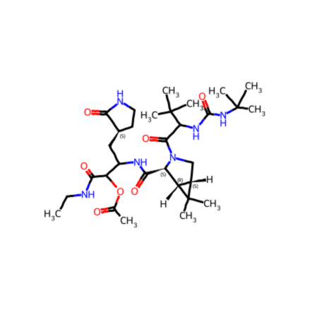 CCNC(=O)C(OC(C)=O)C(C[C@@H]1CCNC1=O)NC(=O)[C@@H]1[C@@H]2[C@H](CN1C(=O)C(NC(=O)NC(C)(C)C)C(C)(C)C)C2(C)C